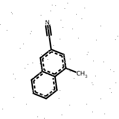 Cc1cc(C#N)cc2ccccc12